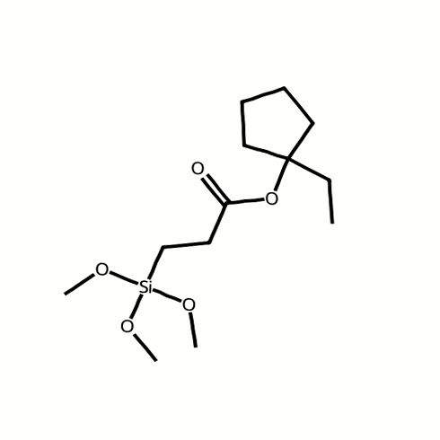 CCC1(OC(=O)CC[Si](OC)(OC)OC)CCCC1